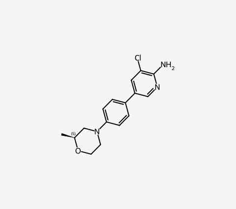 C[C@H]1CN(c2ccc(-c3cnc(N)c(Cl)c3)cc2)CCO1